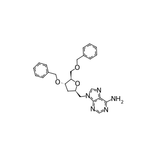 Nc1ncnc2c1ncn2C[C@H]1C[C@H](OCc2ccccc2)[C@@H](COCc2ccccc2)O1